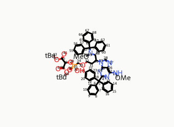 CONc1nc(C(c2ccccc2)(c2ccccc2)c2ccccc2)nc2c1ncn2C(CCOCP(=O)(O)OC(C(=O)OC(C)(C)C)C(=O)OC(C)(C)C)CN(OC)C(c1ccccc1)(c1ccccc1)c1ccccc1